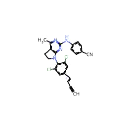 C#C/C=C/c1cc(Cl)c(N2CCc3c(C)nc(Nc4ccc(C#N)cc4)nc32)c(Cl)c1